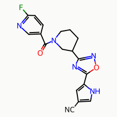 N#Cc1c[nH]c(-c2nc(C3CCCN(C(=O)c4ccc(F)nc4)C3)no2)c1